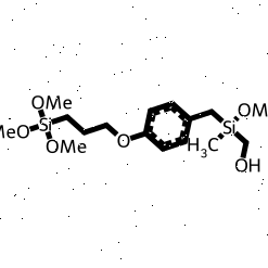 CO[Si](C)(CO)Cc1ccc(OCCC[Si](OC)(OC)OC)cc1